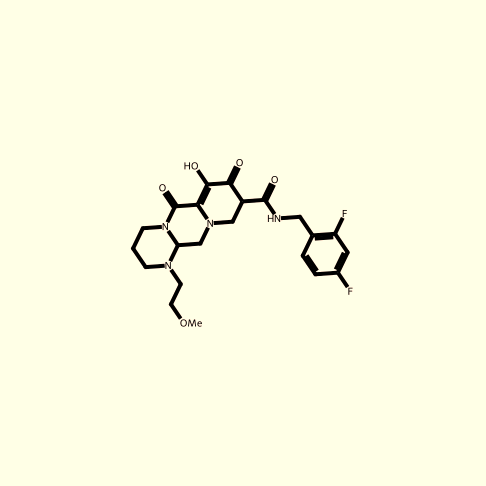 COCCN1CCCN2C(=O)C3=C(O)C(=O)C(C(=O)NCc4ccc(F)cc4F)CN3CC12